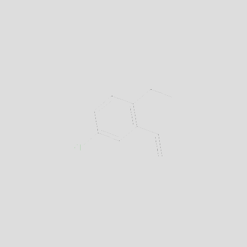 C=Cc1cc(Cl)ccc1CC